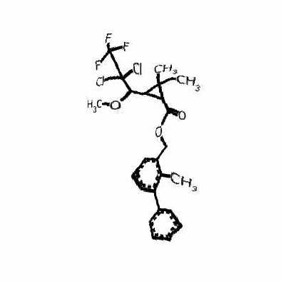 COC(C1C(C(=O)OCc2cccc(-c3ccccc3)c2C)C1(C)C)C(Cl)(Cl)C(F)(F)F